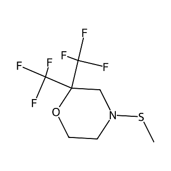 CSN1CCOC(C(F)(F)F)(C(F)(F)F)C1